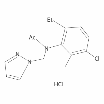 CCc1ccc(Cl)c(C)c1N(Cn1cccn1)C(C)=O.Cl